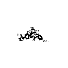 COc1ccc2c(c1)C(=O)N(C[C@@]1(c3ccc(-c4nccn4C)cc3)NC(=O)NC1=O)C2